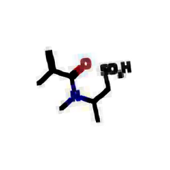 C=C(C)C(=O)N(C)C(C)CS(=O)(=O)O